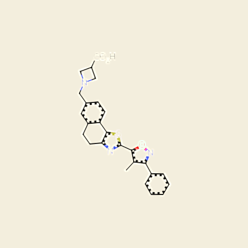 Cc1c(-c2ccccc2)noc1-c1nc2c(s1)-c1ccc(CN3CC(C(=O)O)C3)cc1CC2